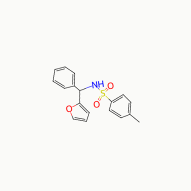 Cc1ccc(S(=O)(=O)NC(c2ccccc2)c2ccco2)cc1